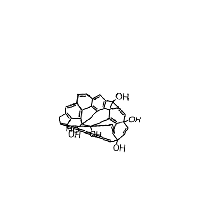 OC12C=CC3(O)C=C4C5(O)c6cc7ccc8cc9c%10c%11c8c7c7c6C45C4=C3C1=C(C%10(O)C(=C2)C9)C4(O)C%117O